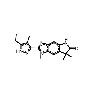 CCc1[nH]nc(-c2nc3cc4c(cc3[nH]2)C(C)(C)C(=O)N4)c1C